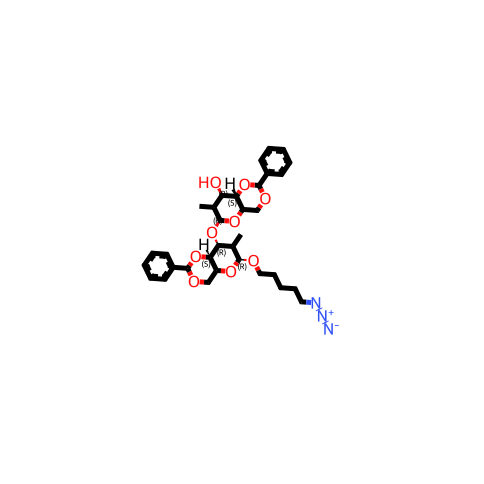 CC1[C@H](O[C@@H]2C(C)[C@H](OCCCCCN=[N+]=[N-])OC3COC(c4ccccc4)O[C@H]32)OC2COC(c3ccccc3)O[C@H]2[C@@H]1O